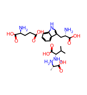 CC(C)[C@H](N)C(=O)O.C[C@H](N)C(=O)O.N[C@@H](CCC(=O)O)C(=O)O.N[C@@H](Cc1c[nH]c2ccccc12)C(=O)O